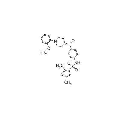 COc1ccccc1N1CCN(C(=O)c2ccc(NS(=O)(=O)c3cc(C)sc3C)cc2)CC1